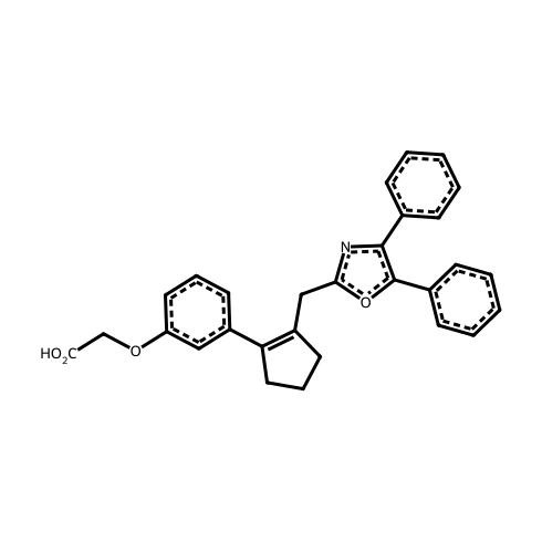 O=C(O)COc1cccc(C2=C(Cc3nc(-c4ccccc4)c(-c4ccccc4)o3)CCC2)c1